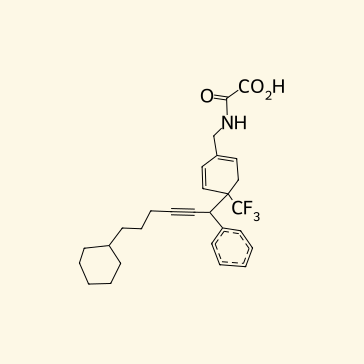 O=C(O)C(=O)NCC1=CCC(C(C#CCCCC2CCCCC2)c2ccccc2)(C(F)(F)F)C=C1